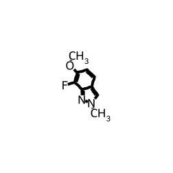 COc1ccc2cn(C)nc2c1F